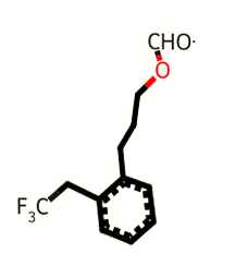 O=[C]OCCCc1ccccc1CC(F)(F)F